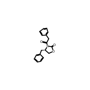 O=C(Cc1cc[c]cc1)N1C(=O)OC[C@H]1Cc1ccccc1